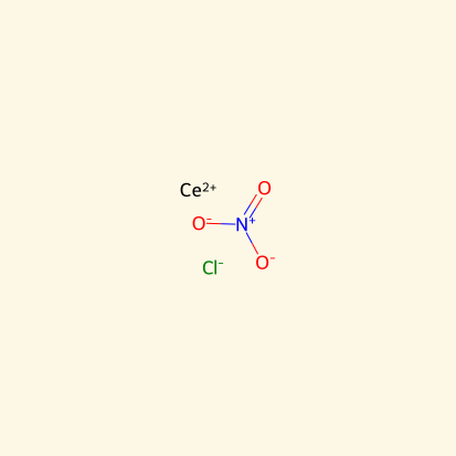 O=[N+]([O-])[O-].[Ce+2].[Cl-]